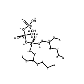 CCCCC(CC)COP(=O)(OCC(CC)CCCC)OP(=O)(O)OP(=O)(O)O